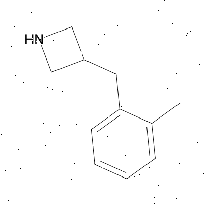 Cc1ccccc1CC1CNC1